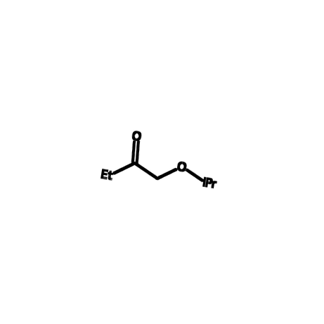 CCC(=O)COC(C)C